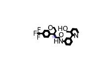 O=C(/C=C1\CCOc2cc(C(F)(F)F)ccc21)Nc1cccc(-c2ncccc2CO)c1